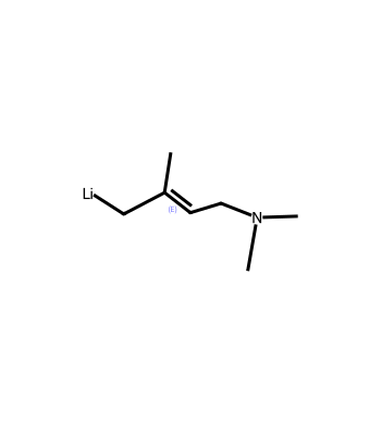 [Li][CH2]/C(C)=C/CN(C)C